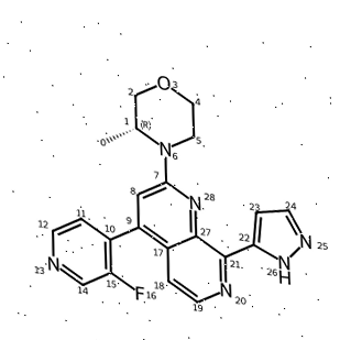 C[C@@H]1COCCN1c1cc(-c2ccncc2F)c2ccnc(-c3ccn[nH]3)c2n1